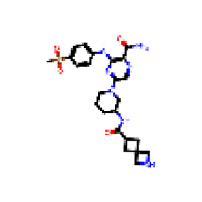 CS(=O)(=O)c1ccc(Nc2nc(N3CCCC(NC(=O)C4CC5(CNC5)C4)C3)cnc2C(N)=O)cc1